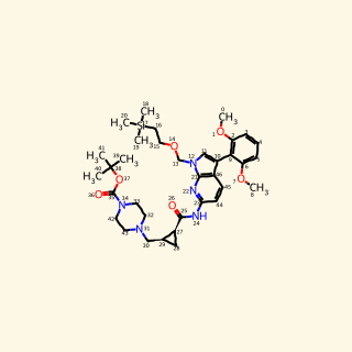 COc1cccc(OC)c1-c1cn(COCC[Si](C)(C)C)c2nc(NC(=O)[C@H]3C[C@H]3CN3CCN(C(=O)OC(C)(C)C)CC3)ccc12